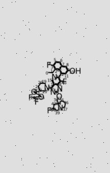 CCc1c(F)ccc2cc(O)cc(-c3ncc4c(N5CCCC(S(=O)(=O)C(F)F)C5)nc(OC[C@@]56CCCN5C[C@H](F)C6)nc4c3F)c12